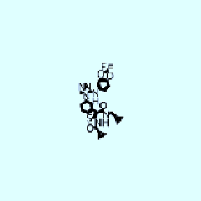 O=C(NCC1CC1)c1c(NC(=O)C2CC2)sc2c1C[C@@H](n1cnnc1Nc1ccc3c(c1)OC(F)(F)O3)CC2